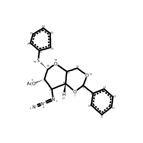 CC(=O)O[C@H]1C(N=[N+]=[N-])[C@H]2OC(c3ccccc3)OCC2O[C@H]1Sc1ccccc1